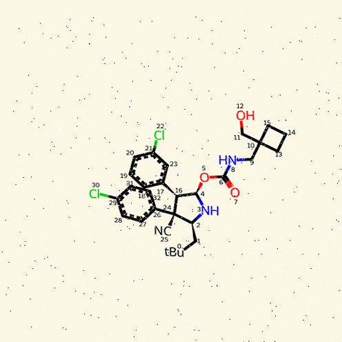 CC(C)(C)C[C@@H]1N[C@H](OC(=O)NCC2(CO)CCC2)[C@H](c2cccc(Cl)c2)[C@@]1(C#N)c1ccc(Cl)cc1